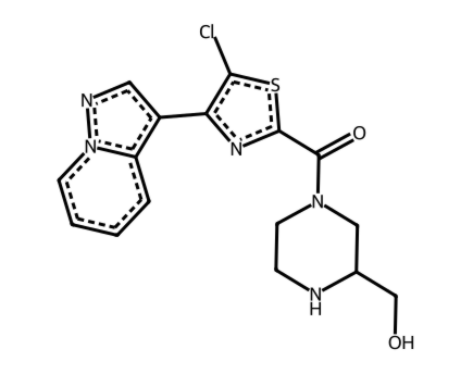 O=C(c1nc(-c2cnn3ccccc23)c(Cl)s1)N1CCNC(CO)C1